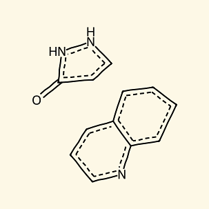 O=c1cc[nH][nH]1.c1ccc2ncccc2c1